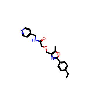 CCc1ccc(-c2nc(COCC(=O)NCc3ccncc3)c(C)o2)cc1